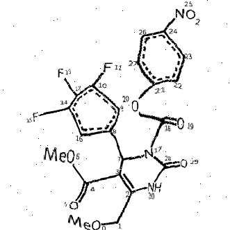 COCC1=C(C(=O)OC)C(c2cc(F)c(F)c(F)c2)N(C(=O)Oc2ccc([N+](=O)[O-])cc2)C(=O)N1